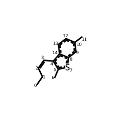 CC/C=C\c1c(C)sc2cc(C)ccc12